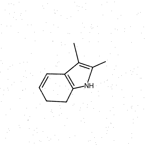 Cc1[nH]c2c(c1C)C=CCC2